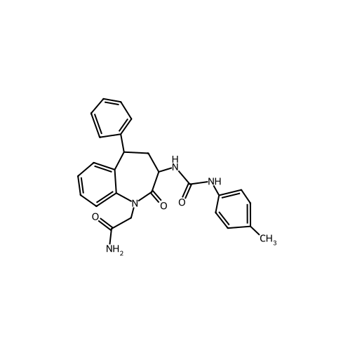 Cc1ccc(NC(=O)NC2CC(c3ccccc3)c3ccccc3N(CC(N)=O)C2=O)cc1